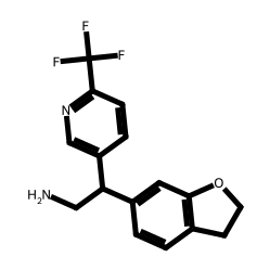 NCC(c1ccc(C(F)(F)F)nc1)c1ccc2c(c1)OCC2